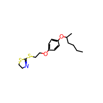 CCCCC(C)Oc1ccc(OCCSC2=NCCS2)cc1